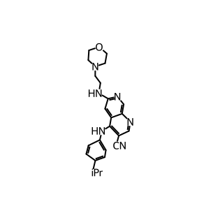 CC(C)c1ccc(Nc2c(C#N)cnc3cnc(NCCN4CCOCC4)cc23)cc1